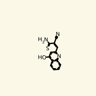 N#C/C(=C/c1cc(O)c2ccccc2n1)C(N)=S